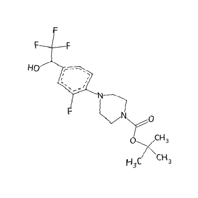 CC(C)(C)OC(=O)N1CCN(c2ccc(C(O)C(F)(F)F)cc2F)CC1